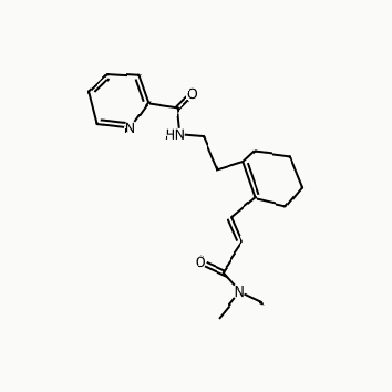 CN(C)C(=O)C=CC1=C(CCNC(=O)c2ccccn2)CCCC1